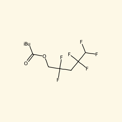 CCC(C)C(=O)OCC(F)(F)CC(F)(F)C(F)F